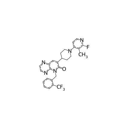 Cc1c(N2CCC(c3cc4nccnc4n(Cc4ccccc4C(F)(F)F)c3=O)CC2)ccnc1F